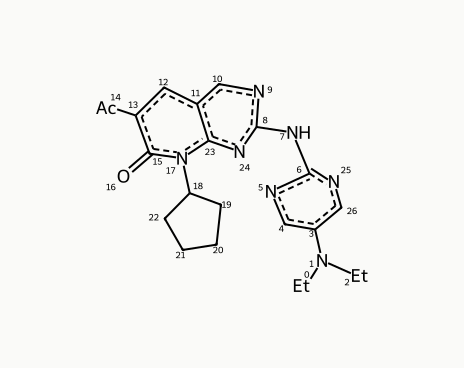 CCN(CC)c1cnc(Nc2ncc3cc(C(C)=O)c(=O)n(C4CCCC4)c3n2)nc1